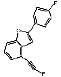 FC#Cc1cccc2oc(-c3ccc(F)cc3)cc12